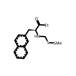 CCC(=O)[C@H](Cc1ccc2ccccc2c1)NCSSC